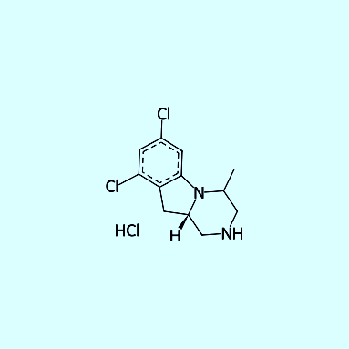 CC1CNC[C@@H]2Cc3c(Cl)cc(Cl)cc3N12.Cl